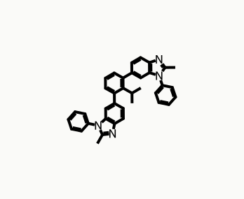 Cc1nc2ccc(-c3cccc(-c4ccc5nc(C)n(-c6ccccc6)c5c4)c3C(C)C)cc2n1-c1ccccc1